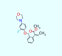 CC=C(C(=O)OC)c1ccccc1COc1ccc(N2CCOCC2)cc1F